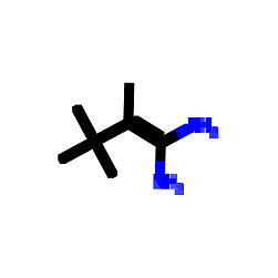 CC(=C(N)N)C(C)(C)C